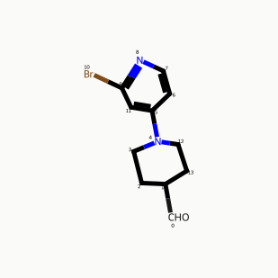 O=CC1CCN(c2ccnc(Br)c2)CC1